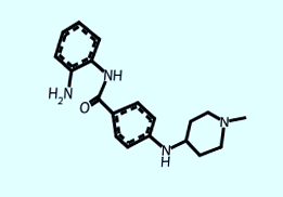 CN1CCC(Nc2ccc(C(=O)Nc3ccccc3N)cc2)CC1